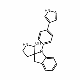 OC1NCCC12Cc1ccccc1N2c1ccc(-c2cn[nH]c2)cc1